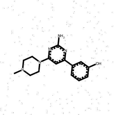 CN1CCN(c2cc(-c3cccc(O)c3)nc(N)n2)CC1